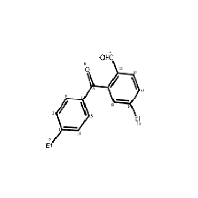 CCc1ccc(C(=O)c2cc(Cl)ccc2[C]=O)cc1